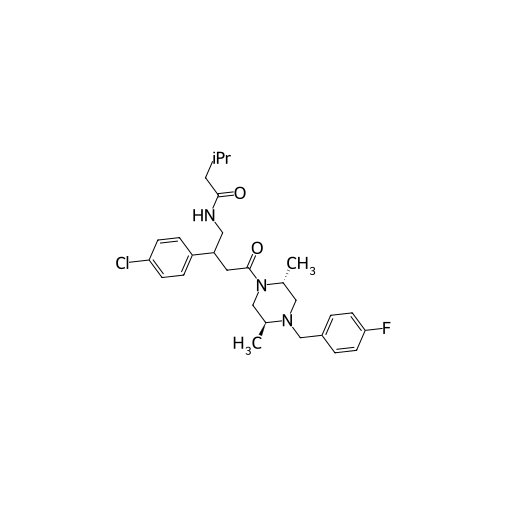 CC(C)CC(=O)NCC(CC(=O)N1C[C@H](C)N(Cc2ccc(F)cc2)C[C@H]1C)c1ccc(Cl)cc1